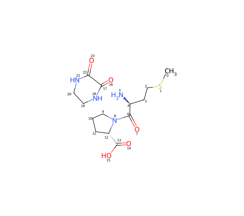 CSCC[C@H](N)C(=O)N1CCC[C@H]1C(=O)O.O=C1NCCNC1=O